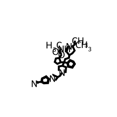 CNC(=O)OC1CCCC1C(CCC1C=CN=C(C(C)C)CC1)(c1ccccc1)C1CCN(CC2CN(c3ccc(C#N)cc3)C2)CC1